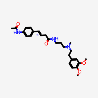 COc1ccc(CCN(C)CCCNC(=O)C/C=C/c2ccc(NC(C)=O)cc2)cc1OC